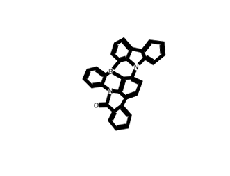 O=c1c2ccccc2c2ccc3c4c2n1-c1ccccc1B4c1cccc2c4ccccc4n-3c12